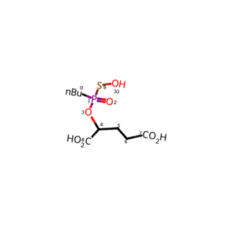 CCCCP(=O)(OC(CCC(=O)O)C(=O)O)SO